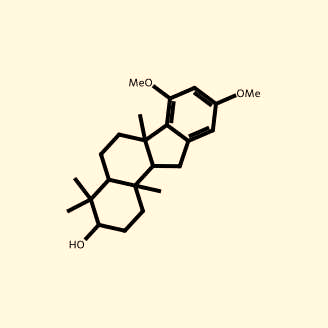 COc1cc2c(c(OC)c1)C1(C)CCC3C(C)(C)C(O)CCC3(C)C1C2